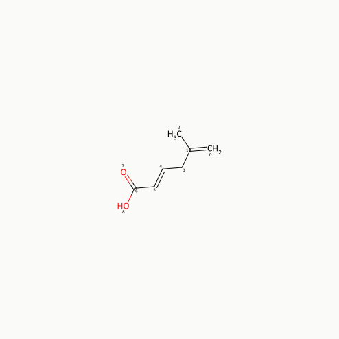 C=C(C)CC=CC(=O)O